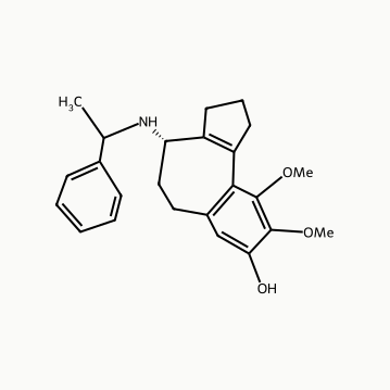 COc1c(O)cc2c(c1OC)C1=C(CCC1)[C@@H](NC(C)c1ccccc1)CC2